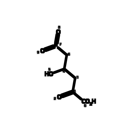 O=C(O)C(=O)CC(O)CP(=O)=O